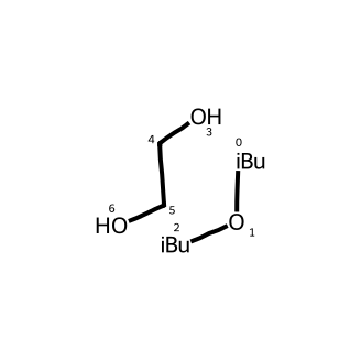 CCC(C)OC(C)CC.OCCO